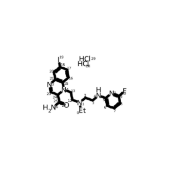 CCN(CCNc1cccc(F)n1)CCN1c2ccc(I)cc2N=CC1C(N)=O.Cl.Cl